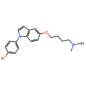 CCCN(C)CCCCOc1ccc2c(ccn2-c2ccc(Br)cc2)c1